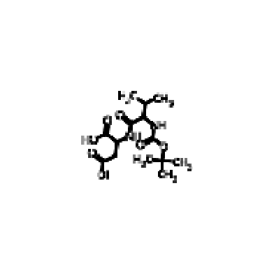 CC(C)C(NC(=O)OC(C)(C)C)C(=O)NC(CC(=O)O)C(=O)O